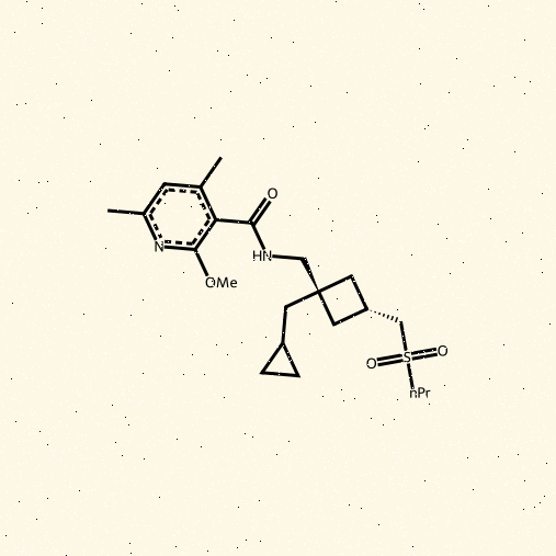 CCCS(=O)(=O)C[C@H]1C[C@@](CNC(=O)c2c(C)cc(C)nc2OC)(CC2CC2)C1